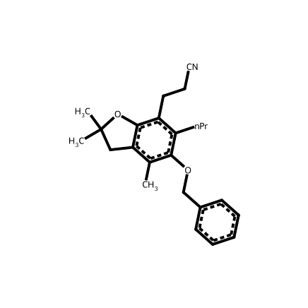 CCCc1c(CCC#N)c2c(c(C)c1OCc1ccccc1)CC(C)(C)O2